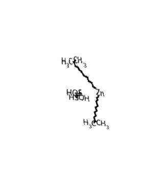 CC(C)CCCCCCCCC[CH2][Zn][CH2]CCCCCCCCCC(C)C.OP(O)(=S)S